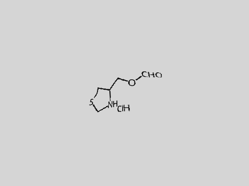 Cl.O=COCC1CSCN1